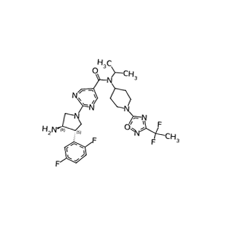 CC(C)N(C(=O)c1cnc(N2C[C@H](c3cc(F)ccc3F)[C@@H](N)C2)nc1)C1CCN(c2nc(C(C)(F)F)no2)CC1